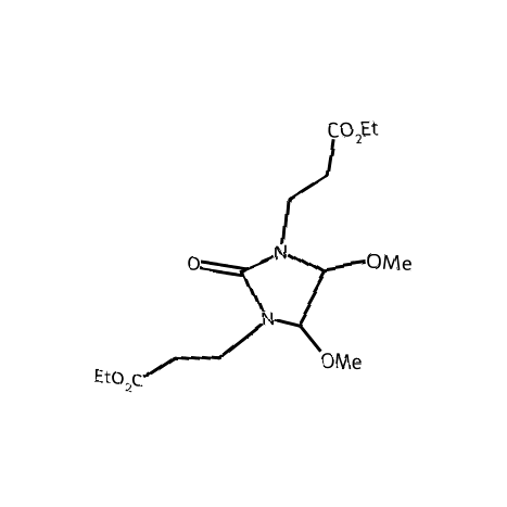 CCOC(=O)CCN1C(=O)N(CCC(=O)OCC)C(OC)C1OC